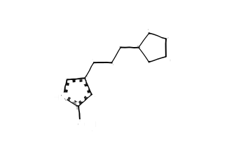 CCOC(=O)c1cc(CCCC2CCCC2)c[nH]1